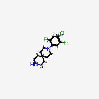 Fc1cc(N2CCC3(CCNCC3)CC2)c(F)cc1Cl